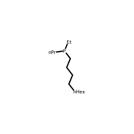 CCCCCCCCCCP(CC)CCC